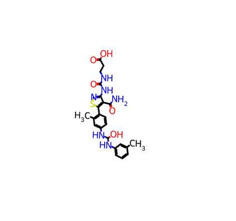 Cc1cccc(NC(O)Nc2ccc(-c3snc(NC(=O)NCCC(=O)O)c3C(N)=O)c(C)c2)c1